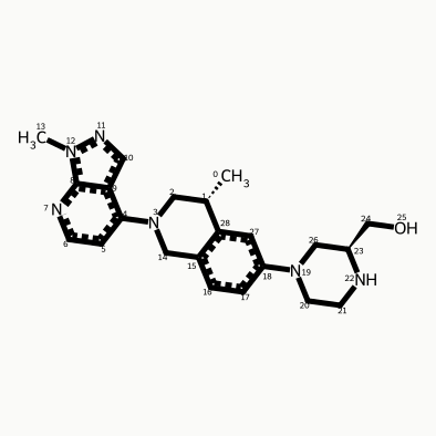 C[C@H]1CN(c2ccnc3c2cnn3C)Cc2ccc(N3CCN[C@H](CO)C3)cc21